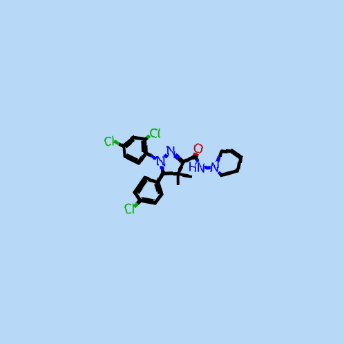 CC1(C)C(C(=O)NN2CCCCC2)=NN(c2ccc(Cl)cc2Cl)C1c1ccc(Cl)cc1